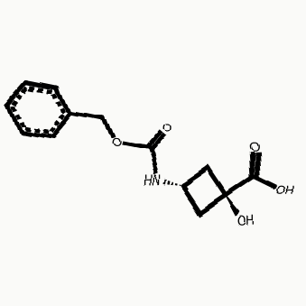 O=C(N[C@H]1C[C@@](O)(C(=O)O)C1)OCc1ccccc1